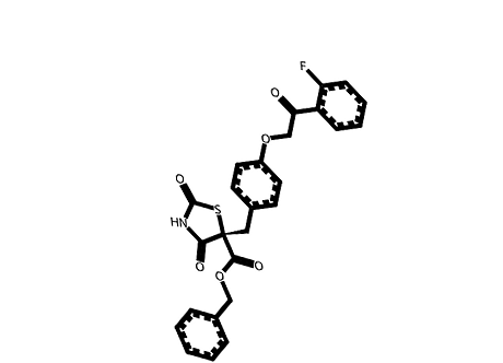 O=C1NC(=O)[C@@](Cc2ccc(OCC(=O)c3ccccc3F)cc2)(C(=O)OCc2ccccc2)S1